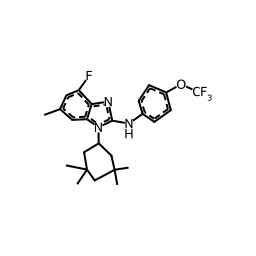 Cc1cc(F)c2nc(Nc3ccc(OC(F)(F)F)cc3)n(C3CC(C)(C)CC(C)(C)C3)c2c1